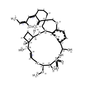 C=C1/C(=C\C(Cl)=C/C)CCC[C@]12COc1ccc3cc1N(C[C@@H]1CC[C@H]1[C@@H](O)/C=C/C[C@H](OC)[C@H](C)S(=O)(=O)NC3O)C2